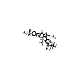 CCn1nc(C(=O)NC[C@]2(O)CC[C@@H](S(C)(=O)=O)CC2)c(Cl)c1-c1cnc(NC(C)(C)C(F)(F)F)cc1OC(F)F